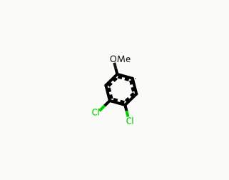 COc1[c]cc(Cl)c(Cl)c1